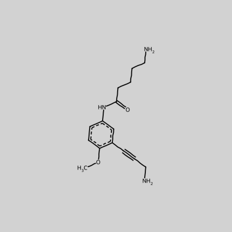 COc1ccc(NC(=O)CCCCN)cc1C#CCN